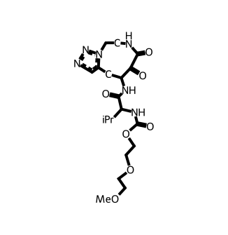 COCCOCCOC(=O)NC(C(=O)NC1Cc2cnnn2CCNC(=O)C1=O)C(C)C